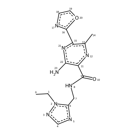 CCn1ncnc1CNC(=O)c1nc(C)c(-c2ncco2)nc1N